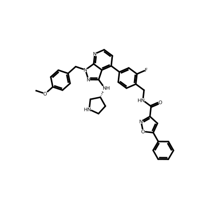 COc1ccc(Cn2nc(N[C@@H]3CCNC3)c3c(-c4ccc(CNC(=O)c5cc(-c6ccccc6)on5)c(F)c4)ccnc32)cc1